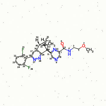 COCCNC(=O)c1cncc([C@@]23CC[C@@H](c4cc(-c5c(F)cccc5F)nnc42)C3(C)C)n1